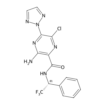 Nc1nc(-n2nccn2)c(Cl)nc1C(=O)N[C@H](c1ccccc1)C(F)(F)F